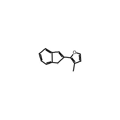 Cc1ccoc1C1=Cc2ccccc2[CH]1